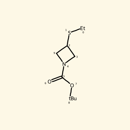 CCSC1CN(C(=O)OC(C)(C)C)C1